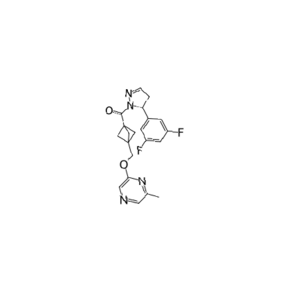 Cc1cncc(OCC23CC(C(=O)N4N=CCC4c4cc(F)cc(F)c4)(C2)C3)n1